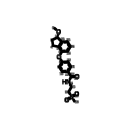 CO[C@@H]1CCc2c(Oc3ccc(C(=O)NCCS(C)(=O)=O)cc3)cccc21